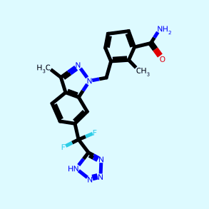 Cc1c(Cn2nc(C)c3ccc(C(F)(F)c4nnn[nH]4)cc32)cccc1C(N)=O